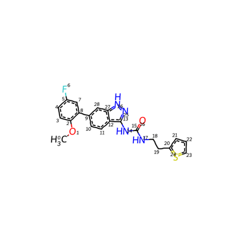 COc1ccc(F)cc1-c1ccc2c(NC(=O)NCCc3cccs3)n[nH]c2c1